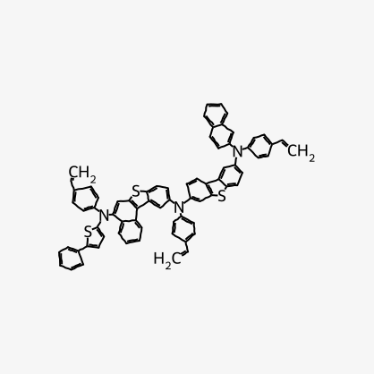 C=Cc1ccc(N(c2ccc3ccccc3c2)c2ccc3sc4cc(N(c5ccc(C=C)cc5)c5ccc6sc7cc(N(c8ccc(C=C)cc8)c8ccc(-c9ccccc9)s8)c8ccccc8c7c6c5)ccc4c3c2)cc1